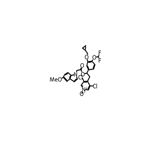 COc1ccc2c(ccn2CC(=O)OC(Cc2c(Cl)c[n+]([O-])cc2Cl)c2ccc(OC(F)F)c(OCC3CC3)c2)c1